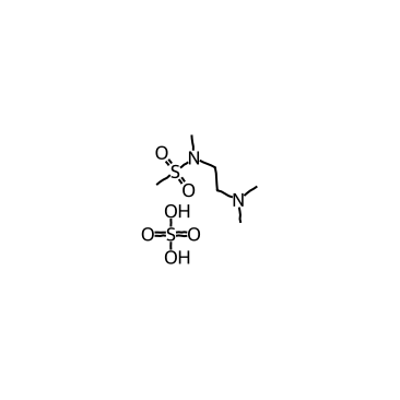 CN(C)CCN(C)S(C)(=O)=O.O=S(=O)(O)O